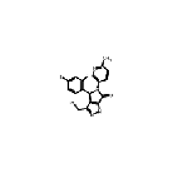 Cc1ccc(N2C(=O)c3[nH]nc(CC(C)C)c3C2c2ccc(F)cc2F)cn1